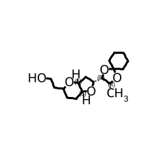 C[C@H]1OC2(CCCCC2)O[C@H]1C1C[C@@H]2OC(CCO)CC[C@@H]2O1